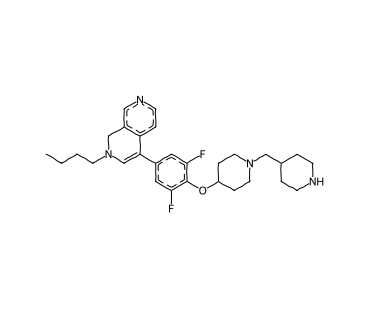 CCCCN1C=C(c2cc(F)c(OC3CCN(CC4CCNCC4)CC3)c(F)c2)c2ccncc2C1